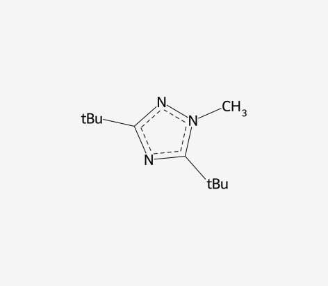 Cn1nc(C(C)(C)C)nc1C(C)(C)C